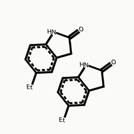 CCc1ccc2c(c1)CC(=O)N2.CCc1ccc2c(c1)CC(=O)N2